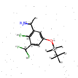 CC(N)c1cc(O[Si](C)(C)C(C)(C)C)cc(C(F)F)c1F